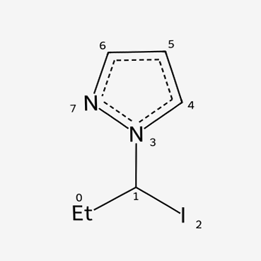 CCC(I)n1cccn1